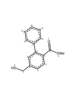 COC(=O)c1ccc(CO)cc1-c1cncnc1